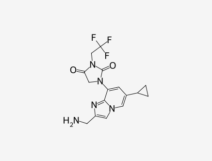 NCc1cn2cc(C3CC3)cc(N3CC(=O)N(CC(F)(F)F)C3=O)c2n1